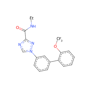 CCNC(=O)c1ncn(-c2cccc(-c3ccccc3OC(F)(F)F)c2)n1